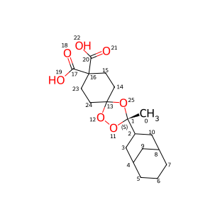 C[C@@]1(C2CC3CCCC(C3)C2)OOC2(CCC(C(=O)O)(C(=O)O)CC2)O1